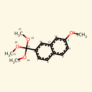 COc1ccc2ccc(C(OC)(OC)OC)cc2c1